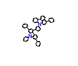 C1=CCCC(c2ccc3c4c(-c5cccc(N(c6ccc(-c7ccccc7)cc6)c6ccccc6-c6ccccc6)c5)cc(-c5ccccc5)cc4n(-c4ccccc4)c3c2)=C1